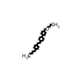 C=CCCOCc1ccc(C2CCC(CCc3ccc(CCC=CC)cc3)CC2)cc1